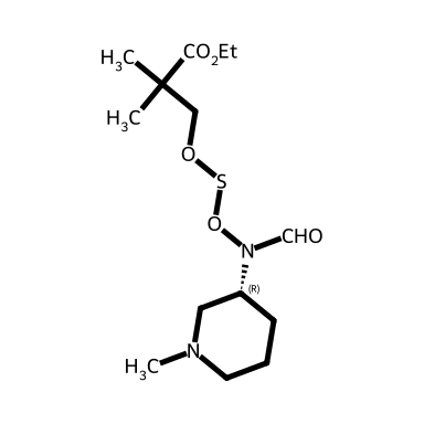 CCOC(=O)C(C)(C)COSON(C=O)[C@@H]1CCCN(C)C1